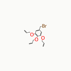 C=CCOc1cc(CBr)cc(OCC=C)c1OCC=C